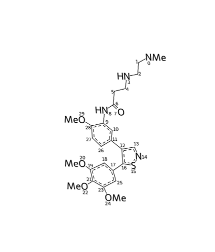 CNCCNCCC(=O)Nc1cc(-c2cnsc2-c2cc(OC)c(OC)c(OC)c2)ccc1OC